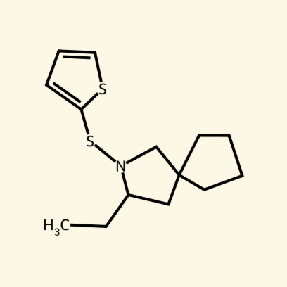 CCC1CC2(CCCC2)CN1Sc1cccs1